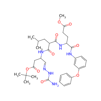 COC(=O)CCC(NC(=O)C(CC(C)C)C(=O)NC(C=NNC(N)=O)CC(=O)OC(C)(C)C)C(=O)Nc1cccc(Oc2ccccc2)c1